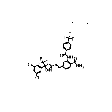 NC(=O)c1ccc(/C=C/C2=NOC(c3cc(Cl)cc(Cl)c3)(C(F)(F)F)C2)cc1NC(=O)c1ccc(C(F)(F)F)cc1